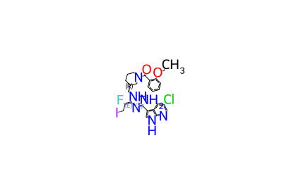 CCOc1ccccc1C(=O)N1CCC[C@H](CNC(/N=C(\N)c2c[nH]c3ncc(Cl)cc23)=C(\F)CI)C1